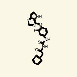 O=C(Cc1ccccc1)NC(=S)Nc1ccc(Oc2ncnc3cc[nH]c23)c(F)c1